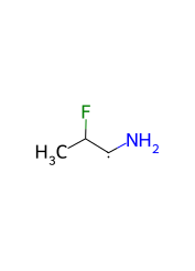 CC(F)[CH]N